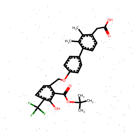 Cc1c(CC(=O)O)ccc(-c2ccc(OCc3ccc(C(F)(F)F)c(O)c3C(=O)OC(C)(C)C)cc2)c1C